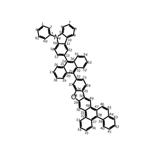 c1ccc(-n2c3ccccc3c3cc(-c4c5ccccc5c(-c5ccc6c(c5)oc5cc7c8ccccc8c8c9ccccc9ccc8c7cc56)c5ccccc45)ccc32)cc1